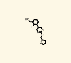 OCc1cccc(-c2cnc(OCC3CCCO3)nc2)c1F